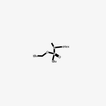 CCCCCCN(C)P(=O)(OCC(C)(C)C)C(C)(C)C